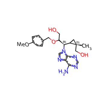 COc1ccc(COC(CO)[C@@H](C2C[C@]2(C)CO)n2cnc3c(N)ncnc32)cc1